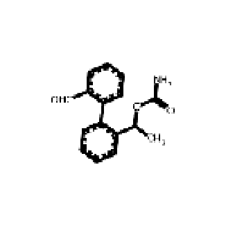 CC(OC(N)=O)c1ccccc1-c1ccccc1C=O